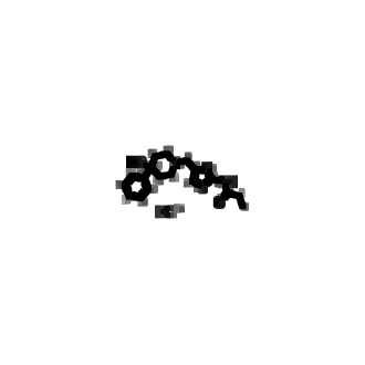 CCC(=O)Nc1nc(CN2CCC(O)(c3ccccc3)CC2)cs1.Cl